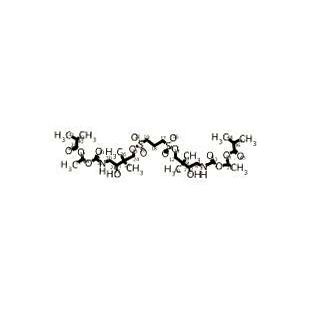 CC(OC(=O)NC[C@H](O)C(C)(C)COS(=O)(=O)CCCS(=O)(=O)OCC(C)(C)[C@@H](O)CNC(=O)OC(C)OC(=O)C(C)C)OC(=O)C(C)C